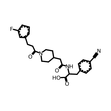 N#Cc1ccc(CC(NC(=O)CC2CCN(C(=O)CCc3cccc(F)c3)CC2)C(=O)O)cc1